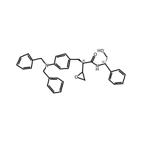 O=C(N[C@H](CO)c1ccccc1)[C@H](Cc1ccc(N(Cc2ccccc2)Cc2ccccc2)cc1)C1CO1